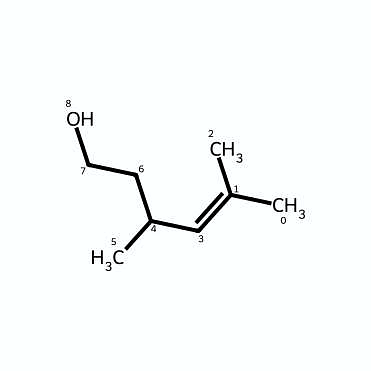 CC(C)=CC(C)CCO